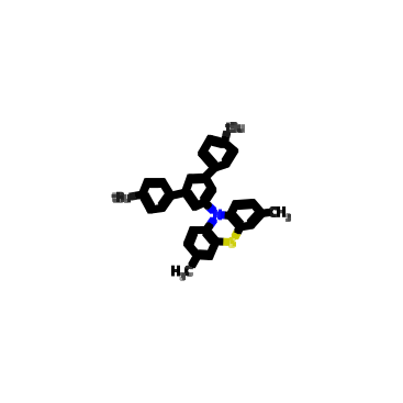 Cc1ccc2c(c1)Sc1cc(C)ccc1N2c1cc(-c2ccc(C(C)(C)C)cc2)cc(-c2ccc(C(C)(C)C)cc2)c1